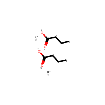 CCCC(=O)[O-].CCCC(=O)[O-].[K+].[K+]